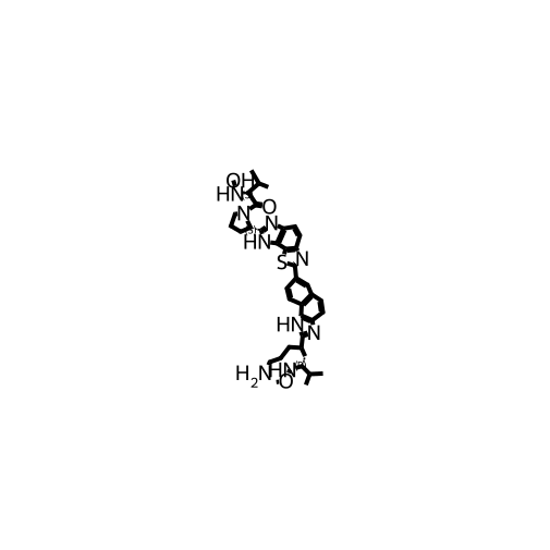 CON[C@H](CC(CCCN)c1nc2ccc3cc(-c4nc5ccc6nc([C@@H]7CCCN7C(=O)[C@@H](NO)C(C)C)[nH]c6c5s4)ccc3c2[nH]1)C(C)C